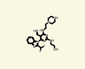 N=Cc1c(NCCN2CCNCC2)nc(NCCO)nc1-n1c(C(F)F)nc2ccccc21